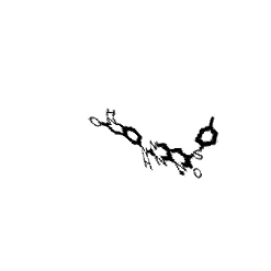 Cc1ccc(Sc2cc3cnc(Nc4ccc5c(c4)CC(=O)N5)nc3n(C)c2=O)cc1